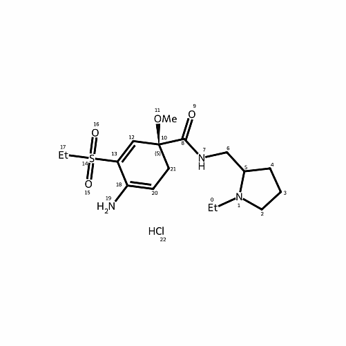 CCN1CCCC1CNC(=O)[C@@]1(OC)C=C(S(=O)(=O)CC)C(N)=CC1.Cl